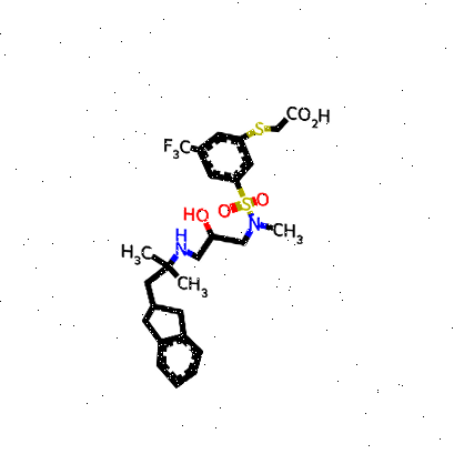 CN(CC(O)CNC(C)(C)CC1Cc2ccccc2C1)S(=O)(=O)c1cc(SCC(=O)O)cc(C(F)(F)F)c1